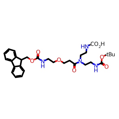 CC(C)(C)OC(=O)NCCN(CCNC(=O)O)C(=O)CCOCCNC(=O)OCC1c2ccccc2-c2ccccc21